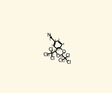 N#Cc1ccc2c(c1)C(C(Cl)(Cl)Cl)OC(C(Cl)(Cl)Cl)O2